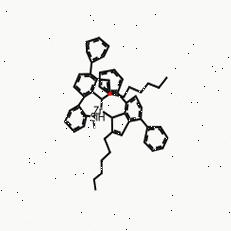 CCCCCCC1=Cc2c(-c3ccccc3)ccc(-c3ccccc3)c2[CH]1[Zr]([CH]1C(CCCCCC)=Cc2c(-c3ccccc3)ccc(-c3ccccc3)c21)[SiH](C)C